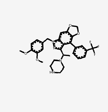 COc1ccc(Cn2nc(C(C)N3CCNCC3)c3c(-c4cccc(C(F)(F)F)c4)c4c(cc32)OCO4)cc1OC